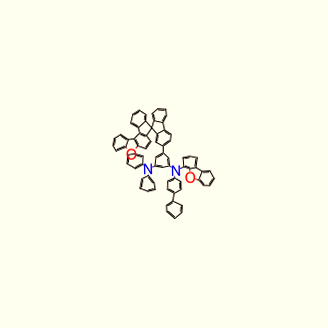 c1ccc(-c2ccc(N(c3cc(-c4ccc5c(c4)C4(c6ccccc6-5)c5ccccc5-c5c4ccc4oc6ccccc6c54)cc(N(c4ccccc4)c4ccccc4)c3)c3cccc4c3oc3ccccc34)cc2)cc1